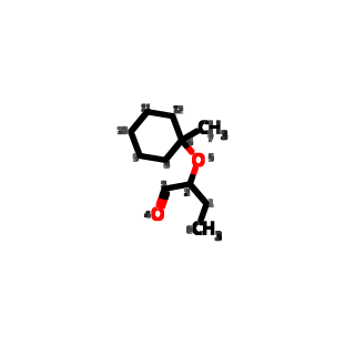 CCC(C=O)OC1(C)CCCCC1